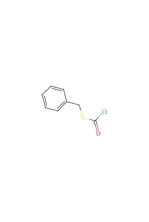 O=C(Cl)SCc1ccccc1